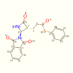 O=C(CC[C@H]1C(=O)N[C@@H]1N1C(=O)c2ccccc2C1=O)Sc1ccccc1